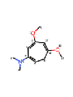 COC1=CC(N(C)C)=CCC(OC)=C1